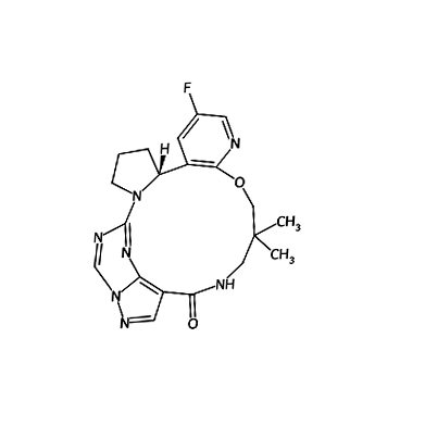 CC1(C)CNC(=O)c2cnn3cnc(nc23)N2CCC[C@@H]2c2cc(F)cnc2OC1